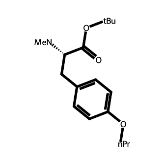 CCCOc1ccc(C[C@H](NC)C(=O)OC(C)(C)C)cc1